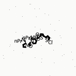 CCCN(CCC)C[C@@H]1CCCN1C(=O)CN1CCC[C@H](NS(=O)(=O)c2ccc(-c3ccc(Cl)s3)s2)C1=O